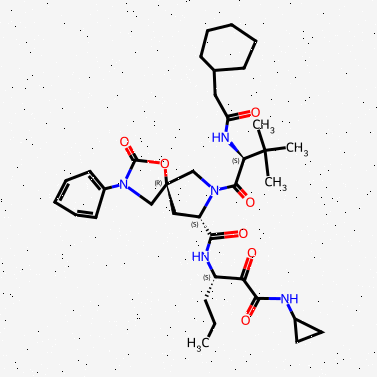 CCC[C@H](NC(=O)[C@@H]1C[C@]2(CN(c3ccccc3)C(=O)O2)CN1C(=O)[C@@H](NC(=O)CC1CCCCC1)C(C)(C)C)C(=O)C(=O)NC1CC1